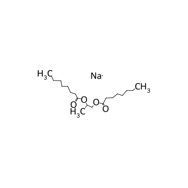 CCCCCCCC(=O)OCC(C)OC(=O)CCCCCCC.[Na]